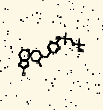 C[C@H]1C[C@@]2(CCN1Cc1cnc(NC(C)(C)CO[Si](C)(C)C(C)(C)C)nc1)OCCc1sc(Cl)cc12